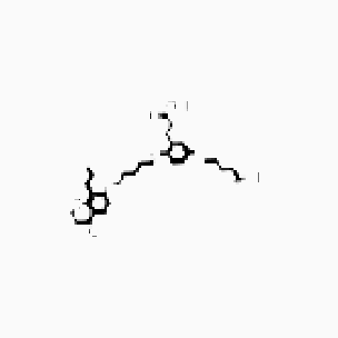 CCCc1c(OCCCCCOc2ccc(OCCCCC(=O)O)cc2CCC(=O)O)ccc2c1OCCC2=O